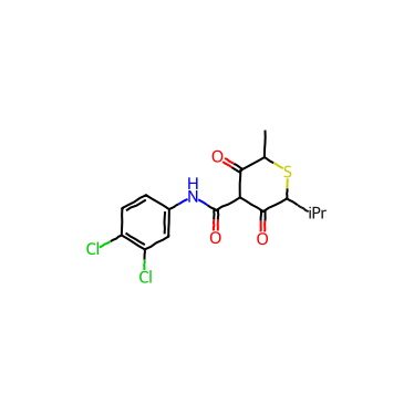 CC1SC(C(C)C)C(=O)C(C(=O)Nc2ccc(Cl)c(Cl)c2)C1=O